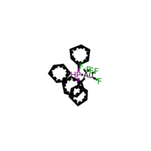 [F][Au]([F])([F])([F])([F])([c]1ccccc1)[PH](c1ccccc1)(c1ccccc1)c1ccccc1